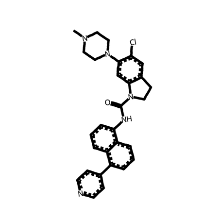 CN1CCN(c2cc3c(cc2Cl)CCN3C(=O)Nc2cccc3c(-c4ccncc4)cccc23)CC1